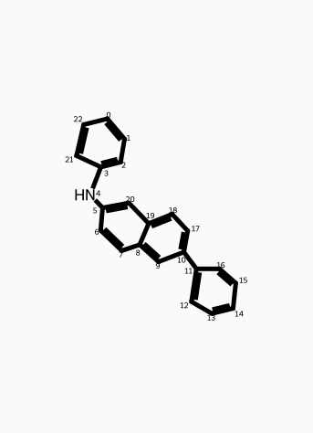 c1ccc(Nc2ccc3cc(-c4ccccc4)ccc3c2)cc1